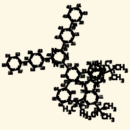 CC(C)(C)c1ccc2c(c1)c1cc(C(C)(C)C)cc3c1n2-c1c(-c2ccccc2)cc(-c2nc(-c4ccc(-c5ccccc5)cc4)nc(-c4ccc(-c5ccccc5)cc4)n2)cc1-c1cccc(c1)C3(C)C